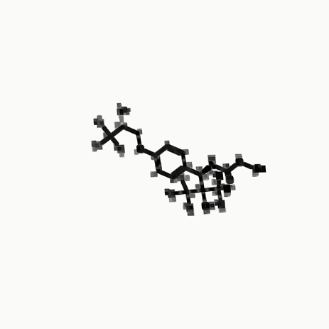 [2H]C([2H])([2H])[C@H](CCC)COc1ccc([C@@H](NC(=O)OC(C)(C)C)C(O)(C([2H])([2H])[2H])C([2H])([2H])[2H])cc1